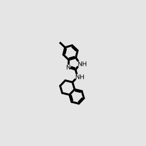 Cc1ccc2[nH]c(NC3CCCc4ccccc43)nc2c1